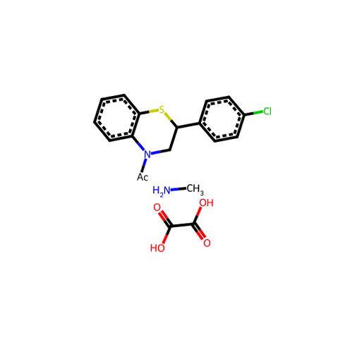 CC(=O)N1CC(c2ccc(Cl)cc2)Sc2ccccc21.CN.O=C(O)C(=O)O